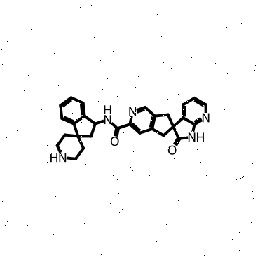 O=C(NC1CC2(CCNCC2)c2ccccc21)c1cc2c(cn1)CC1(C2)C(=O)Nc2ncccc21